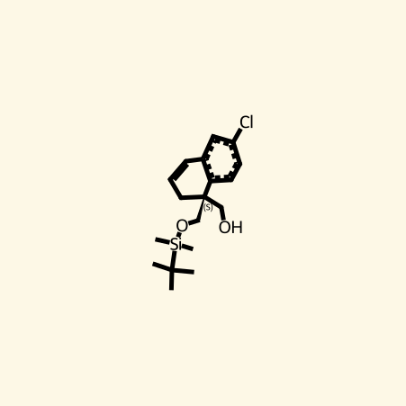 CC(C)(C)[Si](C)(C)OC[C@@]1(CO)CC=Cc2cc(Cl)ccc21